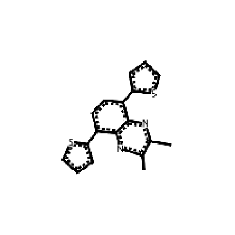 Cc1nc2c(-c3cccs3)ccc(-c3cccs3)c2nc1C